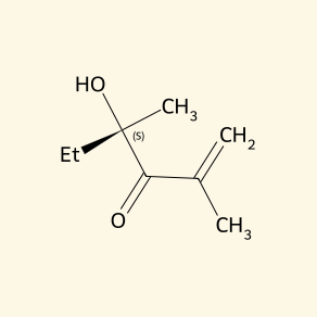 C=C(C)C(=O)[C@@](C)(O)CC